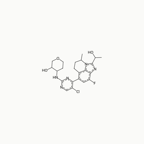 CC(O)c1nc2c(F)cc(-c3nc(NC4CCOCC4O)ncc3Cl)c3c2n1C(C)CC3